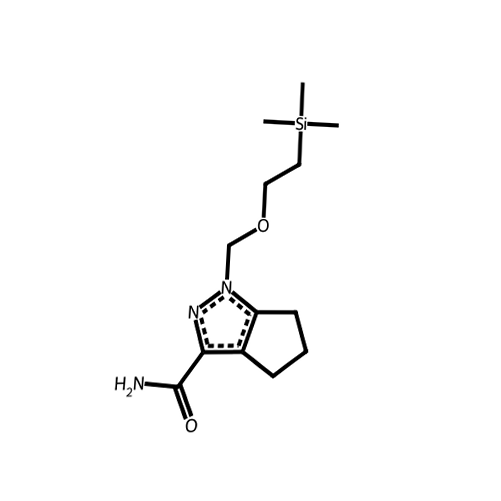 C[Si](C)(C)CCOCn1nc(C(N)=O)c2c1CCC2